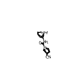 N#Cc1ccn(C(=O)NC2CC3CNC2C3)c1